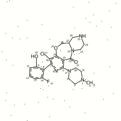 CN1CCN(c2nc(-c3c(O)cccc3F)c(Cl)c3c2C(=O)N2CCNCC2CO3)CC1